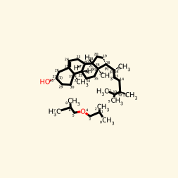 CC(C)COCC(C)C.CC(C)[C@H](C)CC[C@@H](C)[C@H]1CC[C@H]2[C@@H]3CC=C4C[C@@H](O)CC[C@]4(C)[C@H]3CC[C@]12C